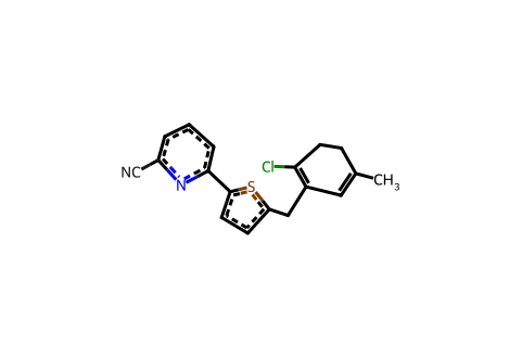 CC1=CC(Cc2ccc(-c3cccc(C#N)n3)s2)=C(Cl)CC1